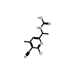 Cc1cc(C(C)NC(=O)O)nc(Cl)c1C#N